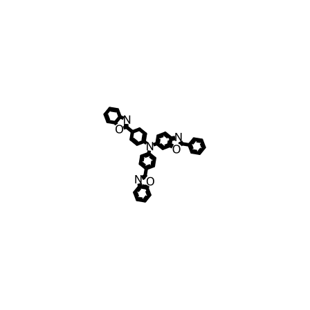 C1=CC2N=C(C3C=CC(N(c4ccc(-c5nc6ccccc6o5)cc4)c4ccc5nc(-c6ccccc6)oc5c4)=CC3)OC2C=C1